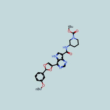 CCCCOc1cccc(C2OC=C(c3ncnc4c(C(=O)NC5CCCN(C(=O)OC(C)(C)C)C5)c[nH]c34)O2)c1